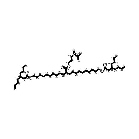 CCCCC(CCCC)CC(=O)OCCCCCCCCCCC(CCCCCCCCCCOC(=O)CC(CCCC)CCCC)C(=O)OCCCN(C)C(C)C